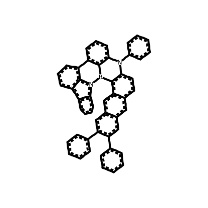 c1ccc(-c2cc3cc4ccc5c(c4cc3cc2-c2ccccc2)B2c3c(cccc3N5c3ccccc3)-c3cccc4c5ccccc5n2c34)cc1